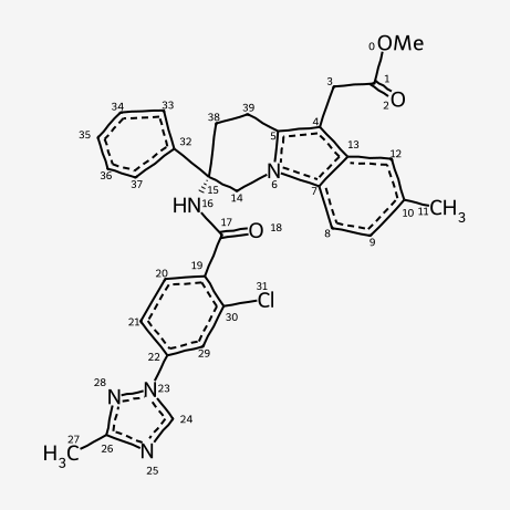 COC(=O)Cc1c2n(c3ccc(C)cc13)C[C@@](NC(=O)c1ccc(-n3cnc(C)n3)cc1Cl)(c1ccccc1)CC2